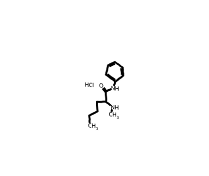 CCCCC(NC)C(=O)Nc1ccccc1.Cl